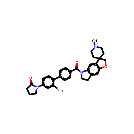 CN1CCC2(CC1)COc1cc3c(cc12)N(C(=O)c1ccc(-c2ccc(N4CCCC4=O)cc2C(F)(F)F)cc1)CC3